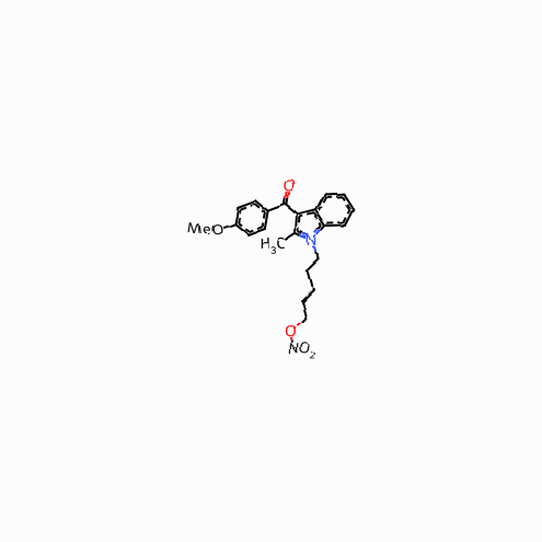 COc1ccc(C(=O)c2c(C)n(CCCCCO[N+](=O)[O-])c3ccccc23)cc1